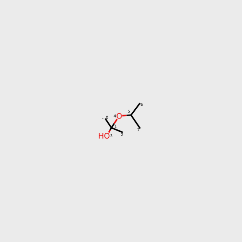 [CH2]C(C)(O)OC(C)C